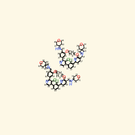 COc1cc(-c2nccc(-c3cccc(-c4ccc(CN5CC6(CCOCC6)C5)c(OC)n4)c3Cl)c2Cl)ccc1CNC1CCOCC1.COc1cc(-c2nccc(-c3cccc(-c4ccc(CNC5CCOCC5)c(OC)n4)c3Cl)c2Cl)ccc1CN1CC2(CCOCC2)C1